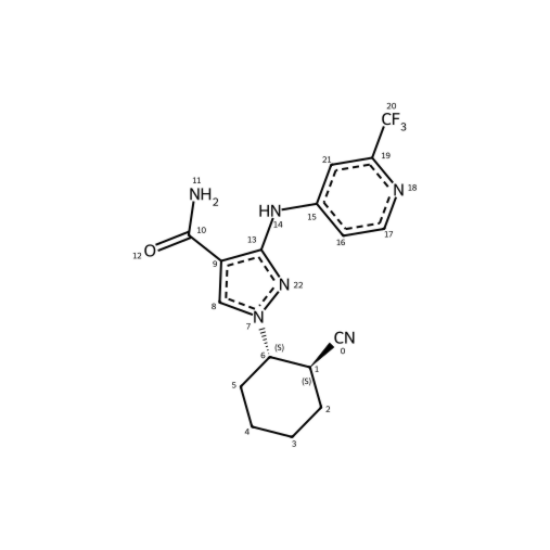 N#C[C@H]1CCCC[C@@H]1n1cc(C(N)=O)c(Nc2ccnc(C(F)(F)F)c2)n1